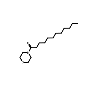 CCCCCCCCCCCC(=O)N1CCOCC1